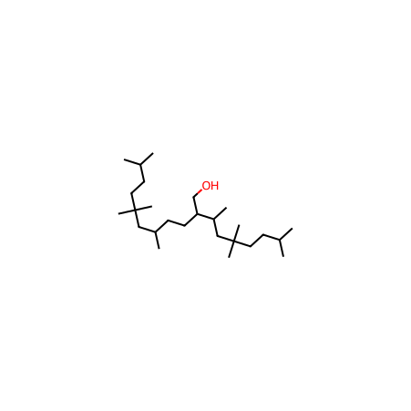 CC(C)CCC(C)(C)CC(C)CCC(CO)C(C)CC(C)(C)CCC(C)C